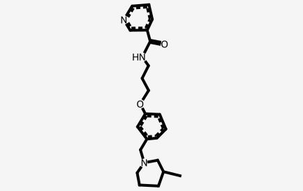 CC1CCCN(Cc2cccc(OCCCNC(=O)c3cccnc3)c2)C1